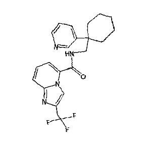 O=C(NCC1(c2cccnc2)CCCCC1)c1cccc2nc(C(F)(F)F)cn12